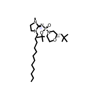 CCCCCCCCCCCCN1CCN(C)/C1=N/P(=O)(OC(C)(C)C)N1CCO[C@@H](CC(C)(C)C)C1